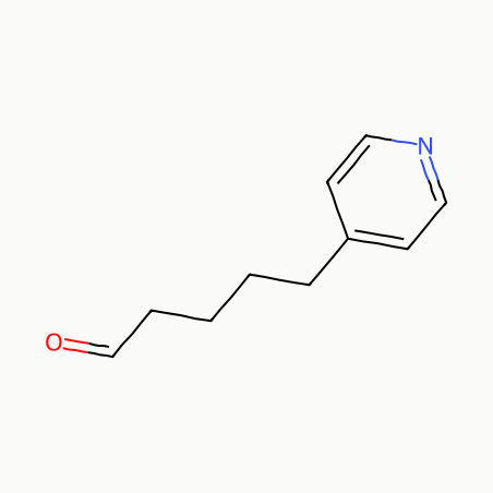 O=CCCCCc1ccncc1